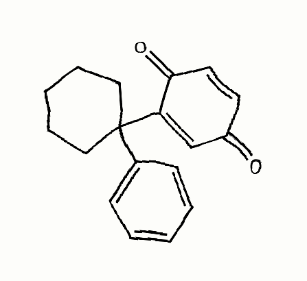 O=C1C=CC(=O)C(C2(c3ccccc3)CCCCC2)=C1